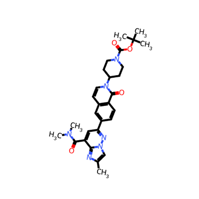 Cc1cn2nc(-c3ccc4c(=O)n(C5CCN(C(=O)OC(C)(C)C)CC5)ccc4c3)cc(C(=O)N(C)C)c2n1